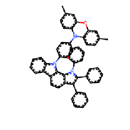 Cc1ccc2c(c1)Oc1cc(C)ccc1N2c1ccc(-n2c3ccccc3c3ccc4c(-c5ccccc5)c(-c5ccccc5)n(-c5ccccc5)c4c32)cc1